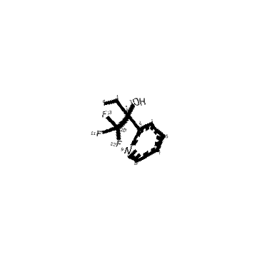 CCC(O)(c1ccccn1)C(F)(F)F